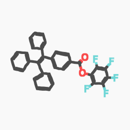 O=C(Oc1c(F)c(F)c(F)c(F)c1F)c1ccc(C(=C(c2ccccc2)c2ccccc2)c2ccccc2)cc1